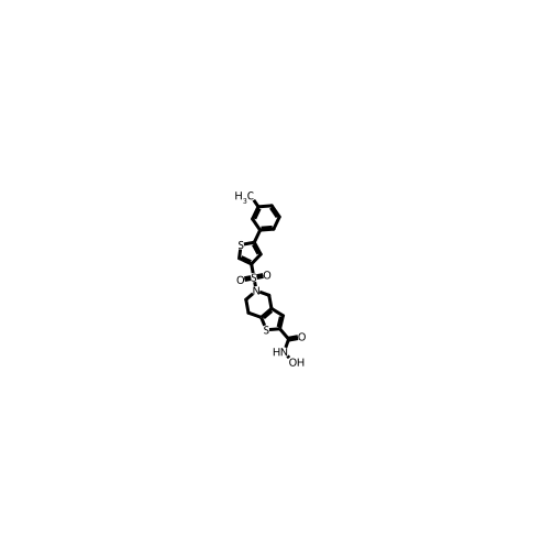 Cc1cccc(-c2cc(S(=O)(=O)N3CCc4sc(C(=O)NO)cc4C3)cs2)c1